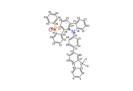 CC1(C)c2ccccc2-c2ccc(-c3ccc(-n4c5ccccc5c5ccc6c(c54)-c4ccccc4P6(=O)c4ccccc4)cc3)cc21